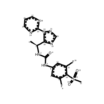 C[C@H](NC(=O)Nc1cc(F)c(S(C)(=O)=O)c(F)c1)c1ncnn1-c1ncccn1